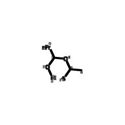 CCCC(OCC)OC(C)[S]